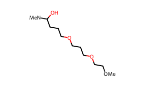 CNC(O)CCCOCCCOCCOC